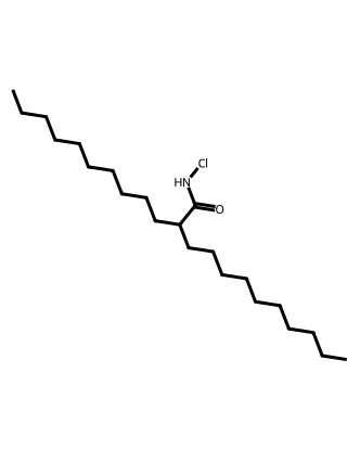 CCCCCCCCCCC(CCCCCCCCCC)C(=O)NCl